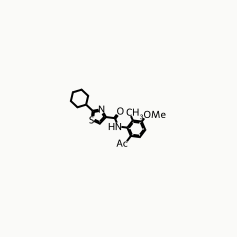 COc1ccc(C(C)=O)c(NC(=O)c2csc(C3CCCCC3)n2)c1C